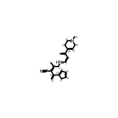 C=C(/C=C\NC/C(C)=C(/C#N)C(=C)C1=CC=CC1)C1=CCN(C)CC1